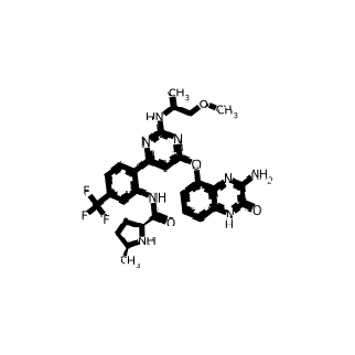 COCC(C)Nc1nc(Oc2cccc3[nH]c(=O)c(N)nc23)cc(-c2ccc(C(F)(F)F)cc2NC(=O)[C@@H]2CC[C@H](C)N2)n1